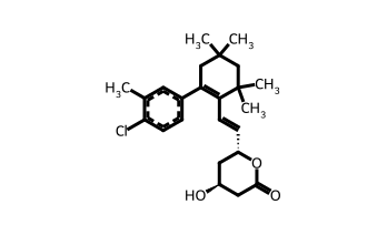 Cc1cc(C2=C(C=C[C@H]3C[C@H](O)CC(=O)O3)C(C)(C)CC(C)(C)C2)ccc1Cl